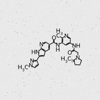 Cc1ncc(NC(=O)CN2CCC[C@@H]2C)cc1NC(=O)c1cnc2[nH]c(-c3ccn(C)n3)cc2c1